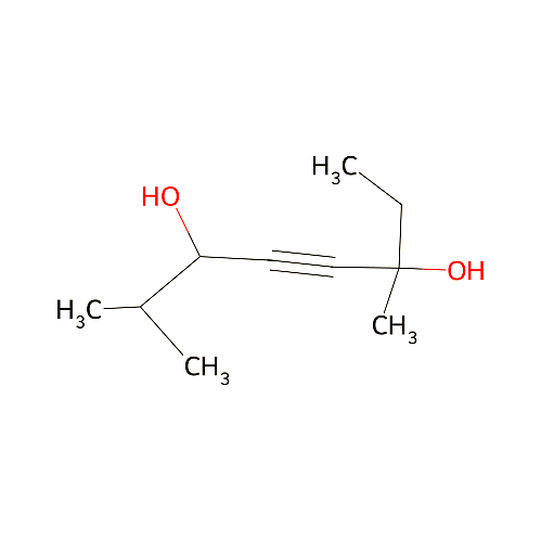 CCC(C)(O)C#CC(O)C(C)C